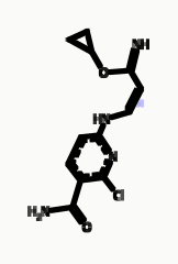 N=C(/C=C\Nc1ccc(C(N)=O)c(Cl)n1)OC1CC1